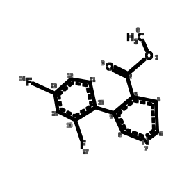 COC(=O)c1ccncc1-c1ccc(F)cc1F